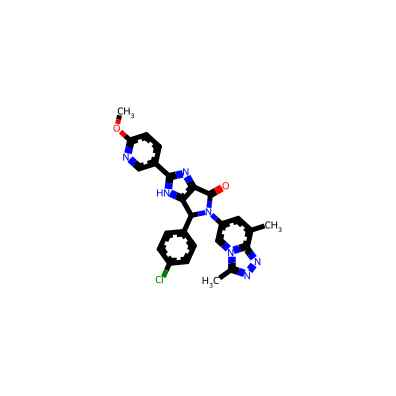 COc1ccc(-c2nc3c([nH]2)C(c2ccc(Cl)cc2)N(c2cc(C)c4nnc(C)n4c2)C3=O)cn1